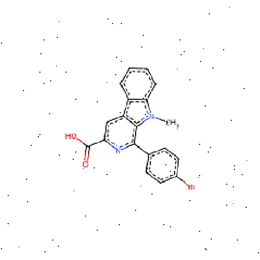 Cn1c2ccccc2c2cc(C(=O)O)nc(-c3ccc(Br)cc3)c21